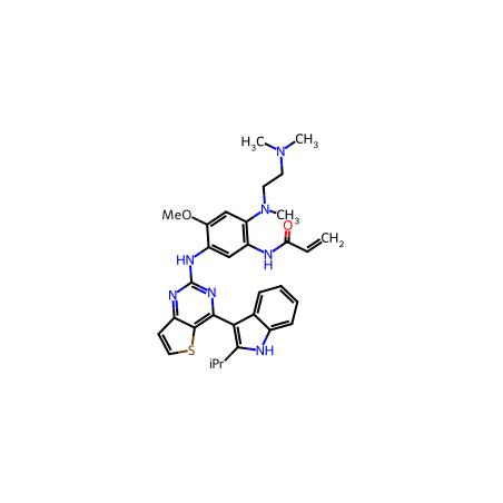 C=CC(=O)Nc1cc(Nc2nc(-c3c(C(C)C)[nH]c4ccccc34)c3sccc3n2)c(OC)cc1N(C)CCN(C)C